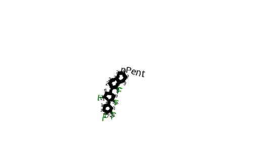 CCCCCc1ccc2c(F)c(-c3cc(F)c(-c4ccc(F)c(F)c4)c(F)c3)ccc2c1